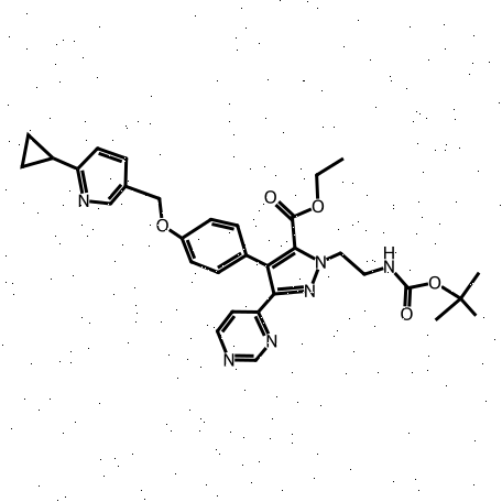 CCOC(=O)c1c(-c2ccc(OCc3ccc(C4CC4)nc3)cc2)c(-c2ccncn2)nn1CCNC(=O)OC(C)(C)C